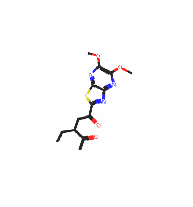 CCC(CC(=O)c1nc2nc(OC)c(OC)nc2s1)C(C)=O